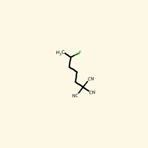 CC(F)CCCC(C#N)(C#N)C#N